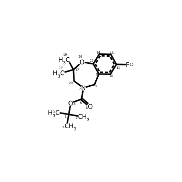 CC(C)(C)OC(=O)N1Cc2cc(F)ccc2OC(C)(C)C1